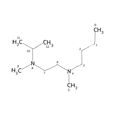 CCCCN(C)CCN(C)C(C)C